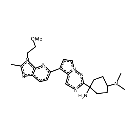 COCCn1c(C)nc2ccc(-c3ccn4nc(C5(N)CCC(N(C)C)CC5)ncc34)nc21